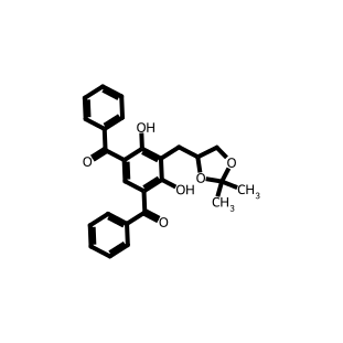 CC1(C)OCC(Cc2c(O)c(C(=O)c3ccccc3)cc(C(=O)c3ccccc3)c2O)O1